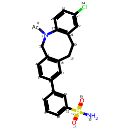 CC(=O)N1Cc2ccc(-c3cccc(S(N)(=O)=O)c3)cc2CCc2cc(Cl)ccc21